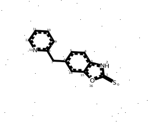 S=c1[nH]c2ccc(Cc3ccccn3)cc2o1